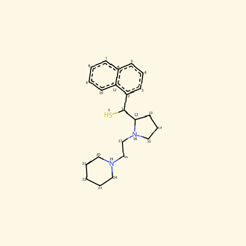 SC(c1cccc2ccccc12)C1CCCN1CCN1CCCCC1